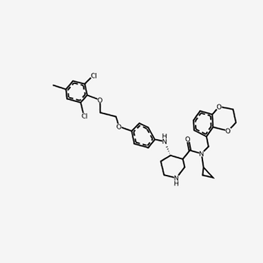 Cc1cc(Cl)c(OCCOc2ccc(N[C@H]3CCNCC3C(=O)N(Cc3cccc4c3OCCO4)C3CC3)cc2)c(Cl)c1